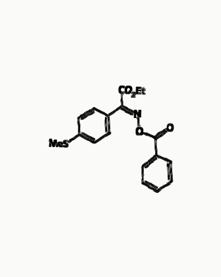 CCOC(=O)C(=NOC(=O)c1ccccc1)c1ccc(SC)cc1